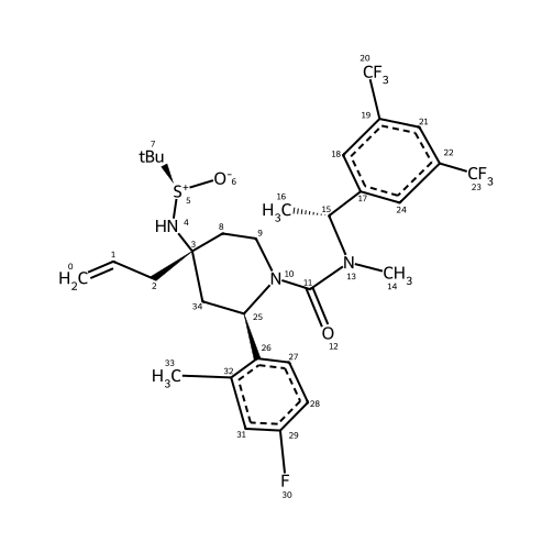 C=CC[C@@]1(N[S@+]([O-])C(C)(C)C)CCN(C(=O)N(C)[C@H](C)c2cc(C(F)(F)F)cc(C(F)(F)F)c2)[C@@H](c2ccc(F)cc2C)C1